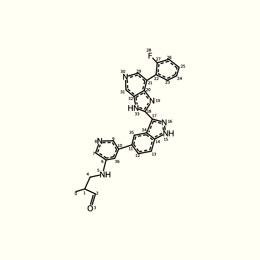 CC(C=O)CNc1cncc(-c2ccc3[nH]nc(-c4nc5c(-c6ccccc6F)cncc5[nH]4)c3c2)c1